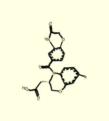 O=C(O)C[C@H]1COc2cc(Br)ccc2N1C(=O)c1ccc2c(c1)NC(=O)CO2